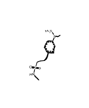 CNS(=O)(=O)CCc1ccc(N(C)N)cc1